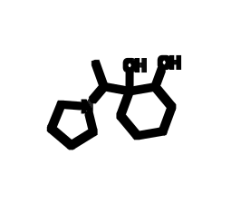 CC(N1CCCC1)C1(O)CCCCC1O